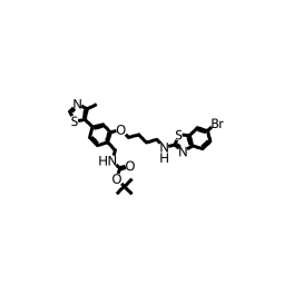 Cc1ncsc1-c1ccc(CNC(=O)OC(C)(C)C)c(OCCCCNc2nc3ccc(Br)cc3s2)c1